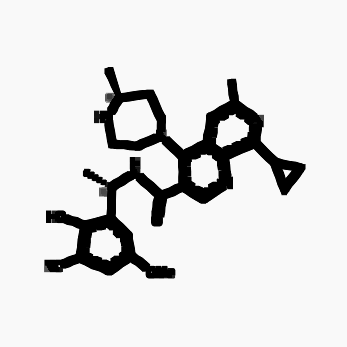 COc1cc(C#N)c(O)c([C@H](C)NC(=O)c2cnc3c(C4CC4)nc(C)cc3c2N2CCN[C@@H](C)CC2)c1